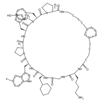 CN1C(=O)[C@H](Cc2cnc[nH]2)NC(=O)[C@@H]2CCCN2C(=O)[C@H](Cc2c[nH]c3ccc(F)cc23)NC(=O)[C@H](CC2CCCCC2)NC(=O)CNC(=O)[C@H](CCCCN)NC(=O)CCSCc2cccc(c2)CSCCNC(=O)[C@]2(C)CCCN2C(=O)[C@@H]1Cc1ccc(O)cc1